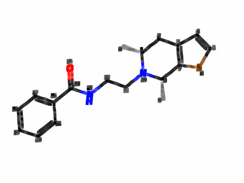 C[C@@H]1Cc2ccsc2[C@H](C)N1CCNC(=O)c1ccccc1